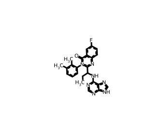 CCC(Nc1ncnc2[nH]cnc12)c1nc2ccc(F)cc2c(=O)n1-c1cccc(C)c1C